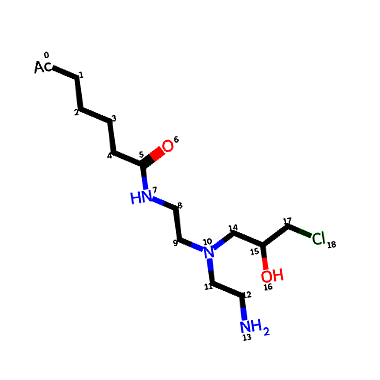 CC(=O)CCCCC(=O)NCCN(CCN)CC(O)CCl